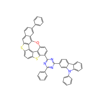 c1ccc(-c2ccc3cc4sc5ccc6sc7c(-c8nc(-c9ccccc9)nc(-c9ccc%10c%11ccccc%11n(-c%11ccccc%11)c%10c9)n8)ccc8oc(c3c2)c4c5c6c87)cc1